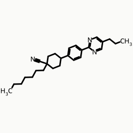 CCCCCCCC1(C#N)CCC(c2ccc(-c3ncc(CCC)cn3)cc2)CC1